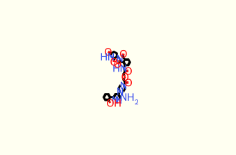 Nc1nnc(-c2ccccc2O)cc1N1CCN(C(=O)COCC(=O)Nc2cccc3c2C(=O)N(C2CCC(=O)NC2=O)C3=O)CC1